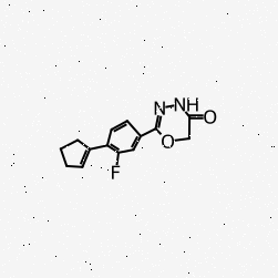 O=C1COC(c2ccc(C3=CCCC3)c(F)c2)=NN1